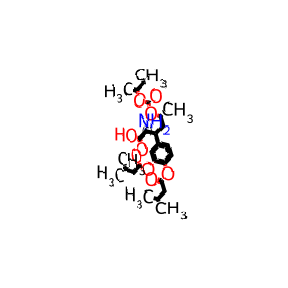 CCC(C)OC(=O)OC(C)CC(c1ccc(OC(=O)CC(C)C)c(OC(=O)CC(C)C)c1)[C@H](N)C(=O)O